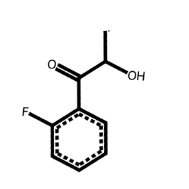 [CH2]C(O)C(=O)c1ccccc1F